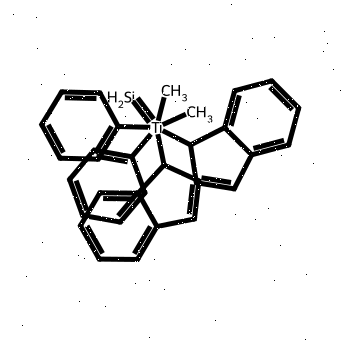 [CH3][Ti]([CH3])(=[SiH2])([c]1ccccc1)([c]1ccccc1)([CH]1C=Cc2ccccc21)[CH]1C=Cc2ccccc21